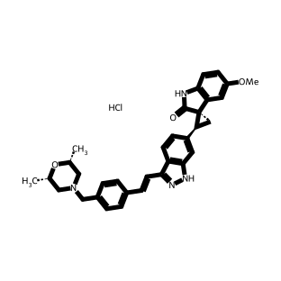 COc1ccc2c(c1)[C@]1(C[C@H]1c1ccc3c(C=Cc4ccc(CN5C[C@@H](C)O[C@@H](C)C5)cc4)n[nH]c3c1)C(=O)N2.Cl